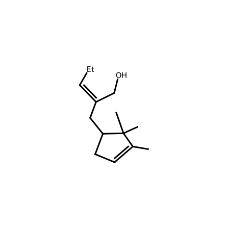 CCC=C(CO)CC1CC=C(C)C1(C)C